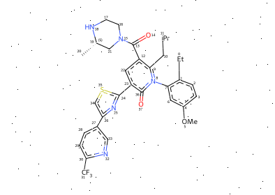 CCc1ccc(OC)cc1-n1c(CC(C)C)c(C(=O)N2CCN[C@@H](C)C2)cc(-c2nc(-c3ccc(C(F)(F)F)nc3)cs2)c1=O